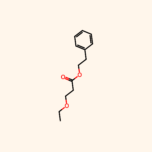 CCOCCC(=O)OCCc1ccccc1